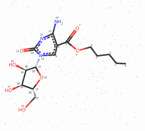 CCCCCOC(=O)c1cn([C@@H]2O[C@H](CO)[C@@H](O)[C@H]2O)c(=O)nc1N